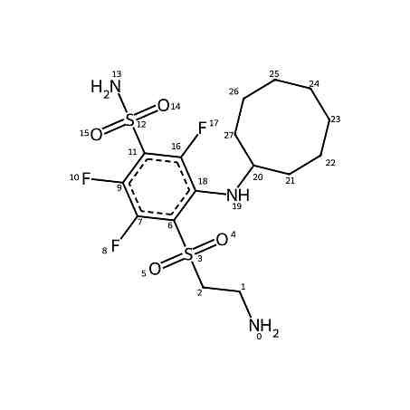 NCCS(=O)(=O)c1c(F)c(F)c(S(N)(=O)=O)c(F)c1NC1CCCCCCC1